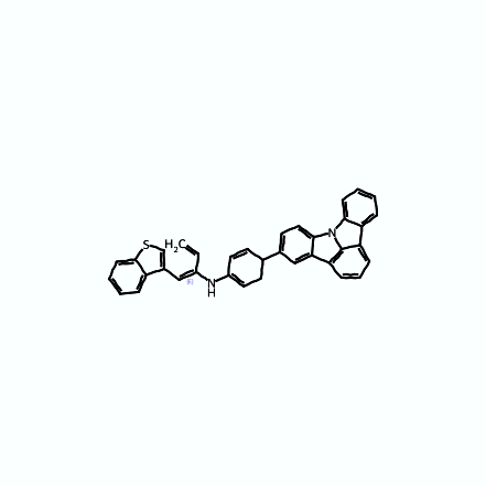 C=C/C(=C\c1csc2ccccc12)NC1=CCC(c2ccc3c(c2)c2cccc4c5ccccc5n3c42)C=C1